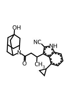 CC(CC(=O)N1C2CC3CC1CC(O)(C3)C2)c1c(C#N)[nH]c2cccc(C3CC3)c12